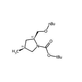 CCCCOC[C@@H]1C[C@H](C)CN1C(=O)OC(C)(C)C